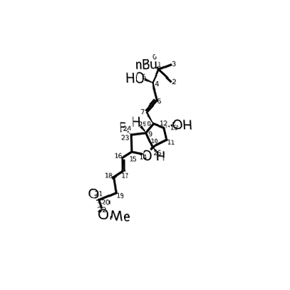 CCCCC(C)(C)[C@H](O)/C=C/[C@@H]1[C@@H]2[C@H](C[C@H]1O)OC(/C=C/CCC(=O)OC)[C@@H]2F